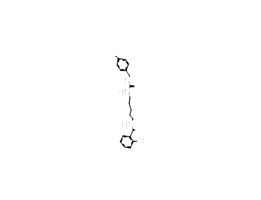 Cc1ccccc1C(=O)NCCCCCNC(=O)NCc1ccc(Cl)cc1